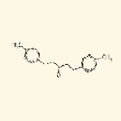 Cc1ccc(CCC(=O)CCc2ccc(C)cc2)cc1